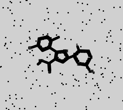 CNC(=O)c1cc(-c2nc(N)ncc2I)[nH]c1-c1cc(Cl)ccc1C